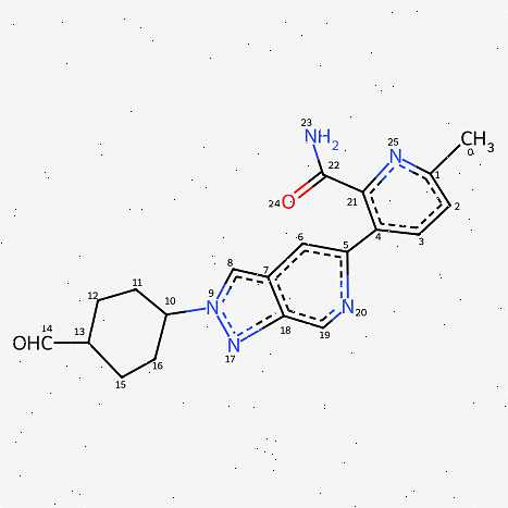 Cc1ccc(-c2cc3cn(C4CCC(C=O)CC4)nc3cn2)c(C(N)=O)n1